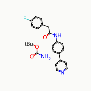 CC(C)(C)OC(N)=O.O=C(Cc1ccc(F)cc1)Nc1ccc(-c2ccncc2)cc1